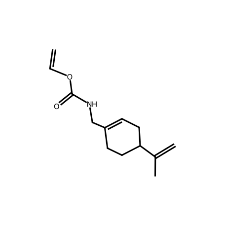 C=COC(=O)NCC1=CCC(C(=C)C)CC1